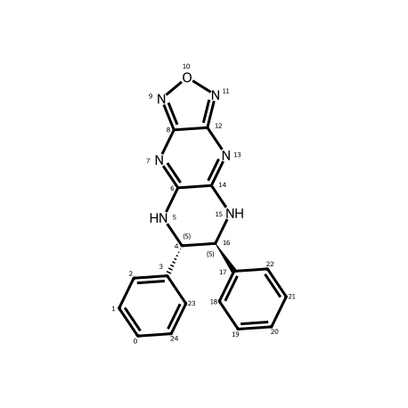 c1ccc([C@@H]2Nc3nc4nonc4nc3N[C@H]2c2ccccc2)cc1